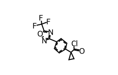 O=C(Cl)C1(c2ccc(-c3noc(C(F)(F)F)n3)cc2)CC1